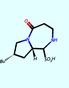 CCCC[C@H]1C[C@H]2C(S(=O)(=O)O)NCCC(=O)N2C1